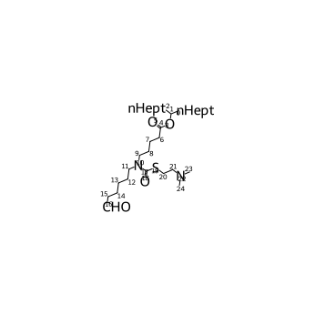 CCCCCCCC(CCCCCCC)OC(=O)CCCCN(CCCCCC=O)C(=O)SCCN(C)C